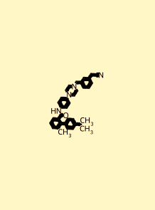 Cc1cccc(C(=O)Nc2ccc(N3CCN(Cc4cccc(CC#N)c4)CC3)cc2)c1-c1ccc(C(C)C)cc1